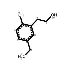 CCc1ccc(O)c(CCO)c1